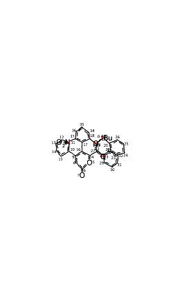 CC(C)(C)OC(=O)c1oc(=O)cc(-c2ccccc2)c1-c1c(N(Cc2ccccc2)Cc2ccccc2)cccc1[N+](=O)[O-]